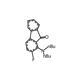 CCCCN(CCCC)c1c(F)ccc2c1C(=O)c1ccccc1-2